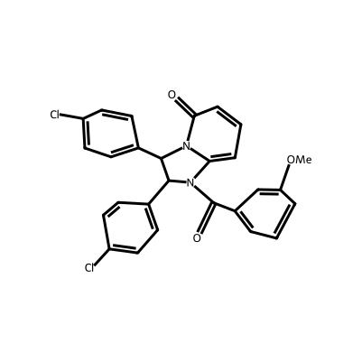 COc1cccc(C(=O)N2c3cccc(=O)n3C(c3ccc(Cl)cc3)C2c2ccc(Cl)cc2)c1